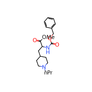 CCCN1CCC(CC(NC(=O)OCc2ccccc2)C(=O)OC)CC1